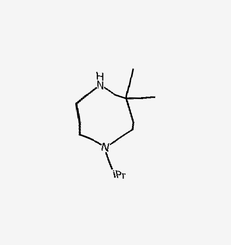 CC(C)N1CCNC(C)(C)C1